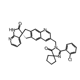 O=C1N(Cc2cnc3cc4c(cc3c2)C[C@@]2(C4)C(=O)Nc3ncccc32)C(c2ccccc2Cl)=NC12CCCC2